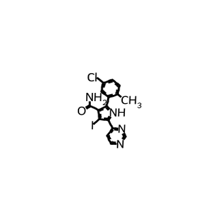 Cc1ccc(Cl)cc1-c1[nH]c(-c2ccncn2)c(I)c1C(N)=O